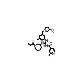 C=CC(=O)N1CCCCC(n2c(NC(=O)c3ccnc(C)c3)nc3cc(CN4CCC(OC)C4)cc(C)c32)C1